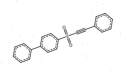 O=S(=O)(C#Cc1ccccc1)c1ccc(-c2ccccc2)cc1